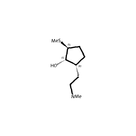 CNCC[C@H]1CC[C@H](SC)[C@H]1O